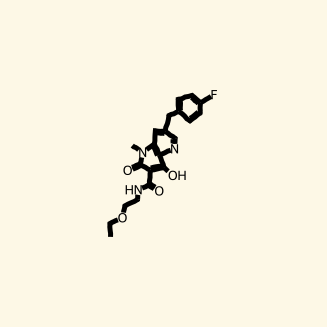 CCOCCNC(=O)c1c(O)c2ncc(Cc3ccc(F)cc3)cc2n(C)c1=O